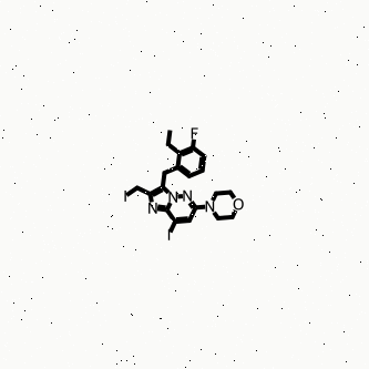 CCc1c(F)cccc1Cc1c(CI)nc2c(I)cc(N3CCOCC3)nn12